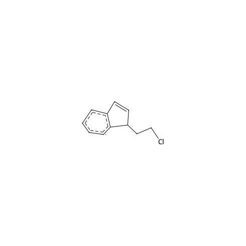 ClCCC1C=Cc2ccc[c]c21